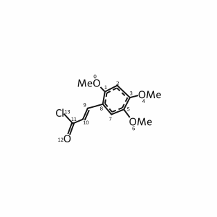 COc1cc(OC)c(OC)cc1C=CC(=O)Cl